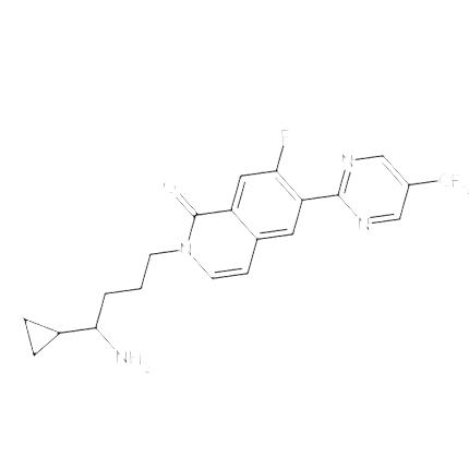 NC(CCCn1ccc2cc(-c3ncc(C(F)(F)F)cn3)c(F)cc2c1=O)C1CC1